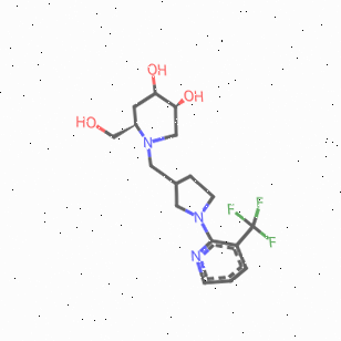 OC[C@H]1CC(O)[C@@H](O)CN1CC1CCN(c2ncccc2C(F)(F)F)C1